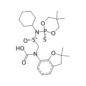 CC1(C)COP(=S)(N(C2CCCCC2)[S+]([O-])CN(C(=O)O)c2cccc3c2OC(C)(C)C3)OC1